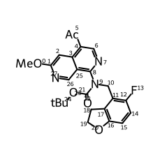 COc1cc2c(C(C)=O)cnc(N(Cc3c(F)ccc4c3CCO4)C(=O)OC(C)(C)C)c2cn1